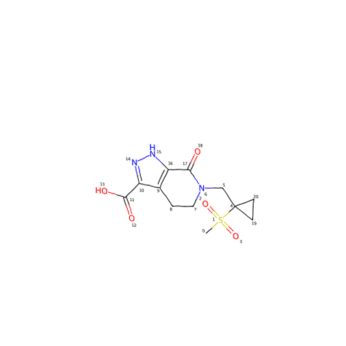 CS(=O)(=O)C1(CN2CCc3c(C(=O)O)n[nH]c3C2=O)CC1